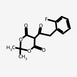 CC1(C)OC(=O)C(C(=O)Cc2ccccc2F)C(=O)O1